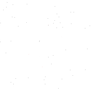 O=C(O)CCC(O)Br